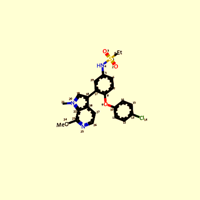 CCS(=O)(=O)Nc1ccc(Oc2ccc(Cl)cc2)c(-c2cn(C)c3c(OC)nccc23)c1